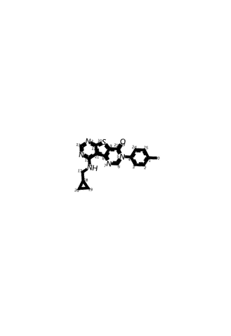 Cc1ccc(-n2cnc3c(sc4ncnc(NCC5CC5)c43)c2=O)cc1